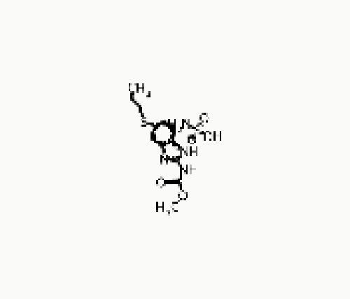 CCCSc1ccc2[nH]c(NC(=O)OC)nc2c1.NS(=O)(=O)O